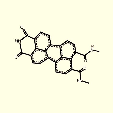 CNC(=O)c1ccc2c3ccc4c5c(ccc(c6ccc(C(=O)NC)c1c26)c53)C(=O)NC4=O